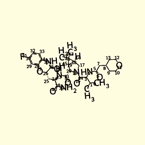 CC(C)C(NC(=O)CC1CCOCC1)C(=O)N1C[C@H]2[C@@H]([C@H]1C(=O)NC(C[C@@H]1Oc3cc(F)ccc3NC1=O)C(N)=O)C2(C)C